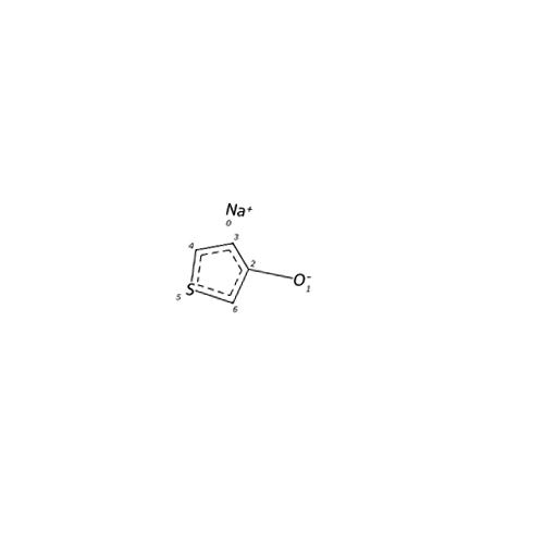 [Na+].[O-]c1ccsc1